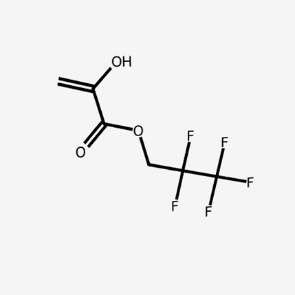 C=C(O)C(=O)OCC(F)(F)C(F)(F)F